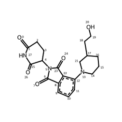 O=C1CCC(N2C(=O)c3cccc(N4CCCC(CCO)C4)c3C2=O)C(=O)N1